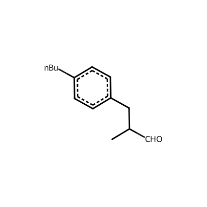 CCCCc1ccc(CC(C)C=O)cc1